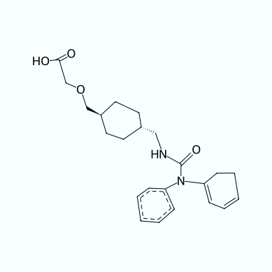 O=C(O)COC[C@H]1CC[C@H](CNC(=O)N(C2=CC=CCC2)c2ccccc2)CC1